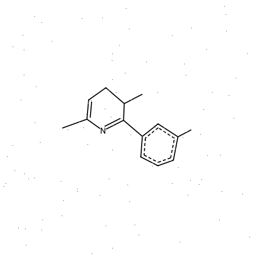 CC1=CCC(C)C(c2cccc(C)c2)=N1